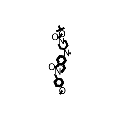 COc1ccc(Cn2ccc3cc(N(C)C4CCN(C(=O)OC(C)(C)C)CC4)ccc3c2=O)cc1